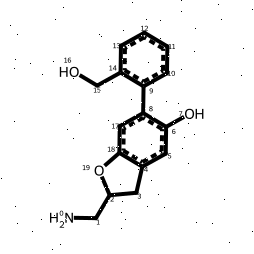 NCC1Cc2cc(O)c(-c3ccccc3CO)cc2O1